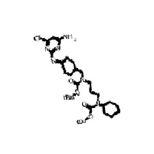 CC(C)(C)OC(=O)N(CCCN(C(=O)OC(C)(C)C)C1CCCCC1)CC1CCC(=Nc2nc(N)cc(Cl)n2)CC1